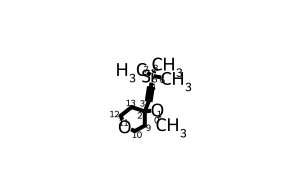 COC1(C#C[Si](C)(C)C)CCOCC1